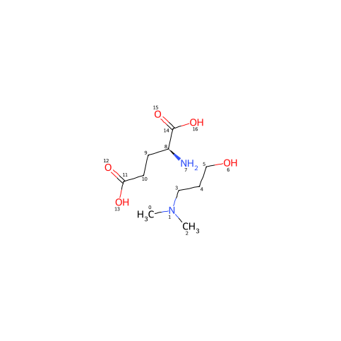 CN(C)CCCO.N[C@@H](CCC(=O)O)C(=O)O